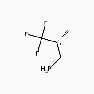 C[C@H](CP)C(F)(F)F